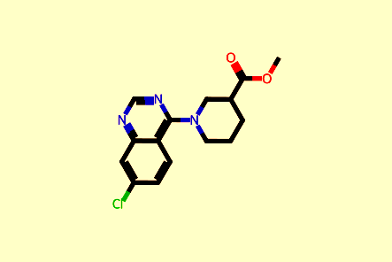 COC(=O)C1CCCN(c2ncnc3cc(Cl)ccc23)C1